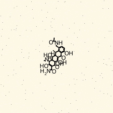 CC(=O)NCc1ccc(O)c2c1[C@H](C)[C@@H]1C(=C(O)[C@]3(O)C(=O)C(C(N)=O)=C(O)[C@@H](N(C)C)[C@@H]3[C@H]1O)C2=O